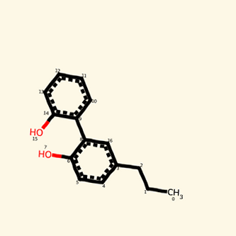 CCCc1ccc(O)c(-c2ccccc2O)c1